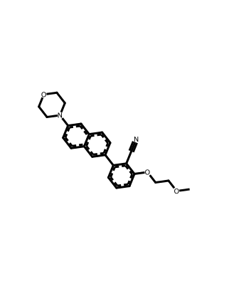 COCCOc1cccc(-c2ccc3cc(N4CCOCC4)ccc3c2)c1C#N